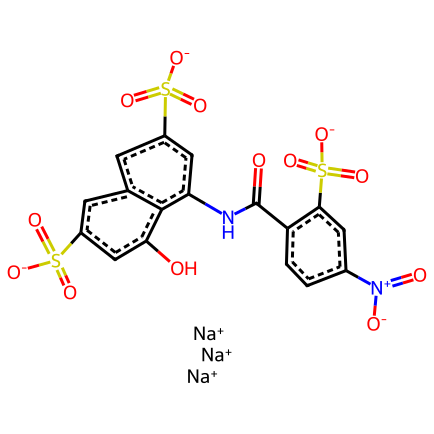 O=C(Nc1cc(S(=O)(=O)[O-])cc2cc(S(=O)(=O)[O-])cc(O)c12)c1ccc([N+](=O)[O-])cc1S(=O)(=O)[O-].[Na+].[Na+].[Na+]